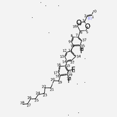 C/C=C/C1OCC(c2ccc(-c3ccc(-c4ccc(CCCCCCCCCC)c(F)c4F)cc3)c(F)c2)CO1